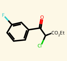 CCOC(=O)C(Cl)C(=O)c1cccc(F)c1